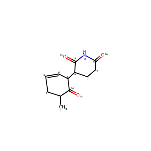 CC1CC=CC(C2CCC(=O)NC2=O)C1=O